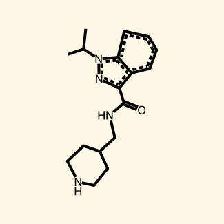 CC(C)n1nc(C(=O)NCC2CCNCC2)c2ccccc21